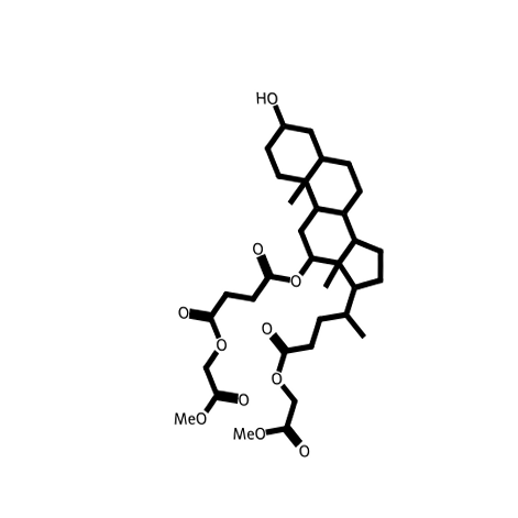 COC(=O)COC(=O)CCC(=O)OC1CC2C(CCC3CC(O)CCC32C)C2CCC(C(C)CCC(=O)OCC(=O)OC)C12C